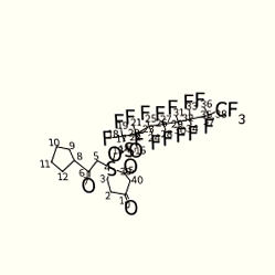 O=C1CCS(CC(=O)C2CCCC2)(OS(=O)(=O)C(F)(F)C(F)(F)C(F)(F)C(F)(F)C(F)(F)C(F)(F)C(F)(F)C(F)(F)F)CC1